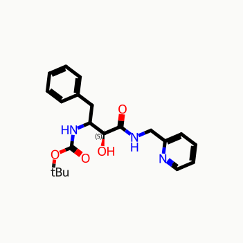 CC(C)(C)OC(=O)NC(Cc1ccccc1)[C@H](O)C(=O)NCc1ccccn1